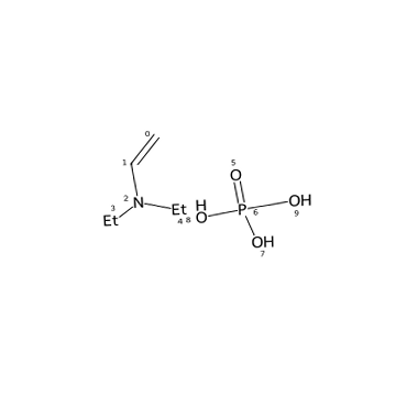 C=CN(CC)CC.O=P(O)(O)O